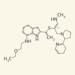 C=C(S/C(=C\NC)CN1CCCC1C1=NC=CCC1)c1cc2cccc(NCCOCC)c2[nH]1